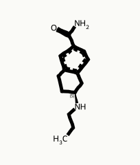 CCCN[C@H]1CCc2cc(C(N)=O)ccc2C1